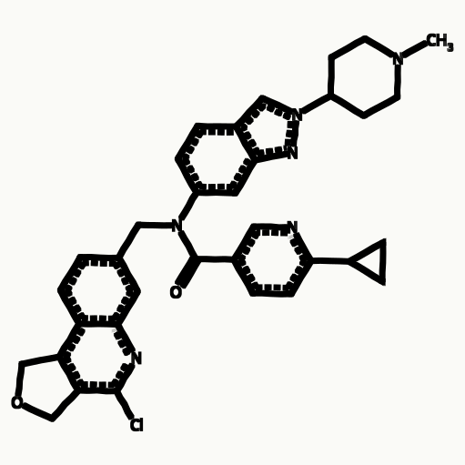 CN1CCC(n2cc3ccc(N(Cc4ccc5c6c(c(Cl)nc5c4)COC6)C(=O)c4ccc(C5CC5)nc4)cc3n2)CC1